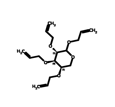 C=CCOC1OC[C@@H](OCC=C)[C@@H](OCC=C)[C@@H]1OCC=C